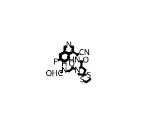 N#CC(NC(=O)C1CC2(CN1C(=O)CNC=O)SCCS2)c1cncc2cc(F)ccc12